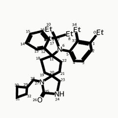 CCc1cccc(N(C(CC)(CC)CC)C2(c3ccccc3)CCC3(CC2)CNC(=O)N3CC2CCC2)c1CC